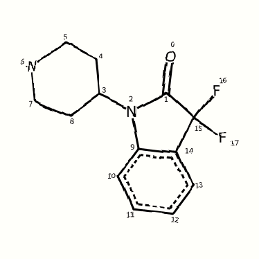 O=C1N(C2CC[N]CC2)c2ccccc2C1(F)F